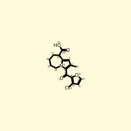 Cc1cc2n(c1C(=O)c1occc1Cl)CCCCC2C(=O)O